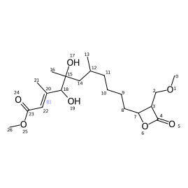 COCC1C(=O)OC1CCCCC(C)CC(C)(O)C(O)/C(C)=C/C(=O)OC